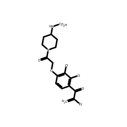 C=C(CC)C(=O)c1ccc(OCC(=O)N2CCC(NC(=O)O)CC2)c(Cl)c1Cl